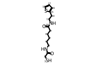 O=C(CS)NCCCCCC(=O)NCCc1cccs1